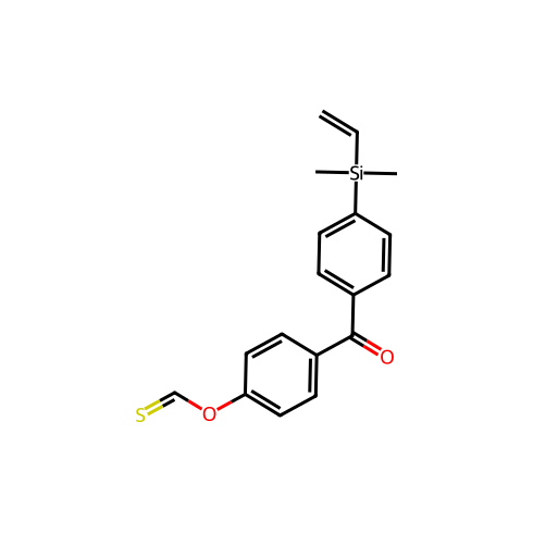 C=C[Si](C)(C)c1ccc(C(=O)c2ccc(OC=S)cc2)cc1